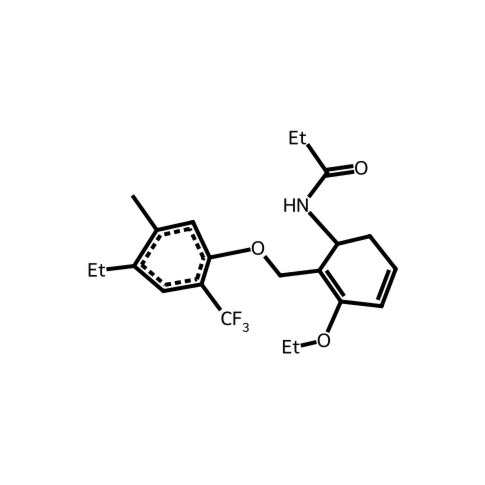 CCOC1=C(COc2cc(C)c(CC)cc2C(F)(F)F)C(NC(=O)CC)CC=C1